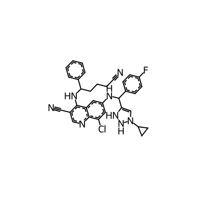 N#CCCCC(Nc1c(C#N)cnc2c(Cl)cc(NC(C3=CN(C4CC4)NN3)c3ccc(F)cc3)cc12)c1ccccc1